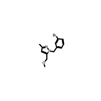 [CH2]c1cc(COC)n(Cc2cccc(Br)c2)n1